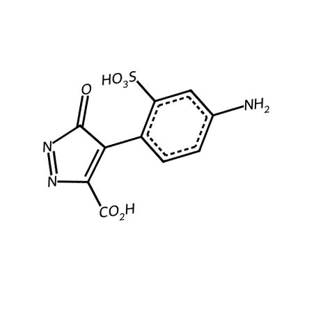 Nc1ccc(C2=C(C(=O)O)N=NC2=O)c(S(=O)(=O)O)c1